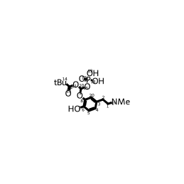 CNCCc1ccc(O)c(OC(OC(=O)C(C)(C)C)OP(=O)(O)O)c1